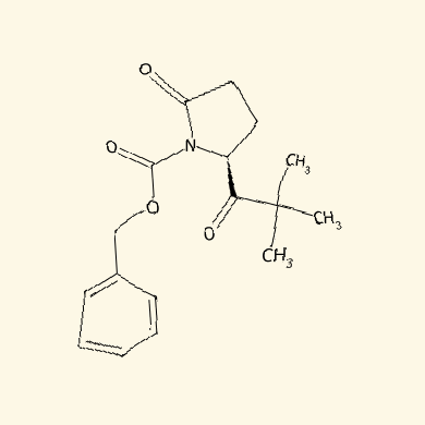 CC(C)(C)C(=O)[C@@H]1CCC(=O)N1C(=O)OCc1ccccc1